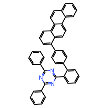 c1ccc(-c2nc(-c3ccccc3)nc(-c3ccccc3-c3ccc(-c4cccc5c4ccc4c6ccccc6ccc54)cc3)n2)cc1